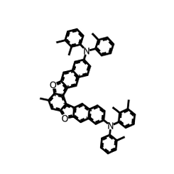 Cc1ccccc1N(c1ccc2cc3c(cc2c1)oc1cc(C)c2oc4cc5cc(N(c6ccccc6C)c6cccc(C)c6C)ccc5cc4c2c13)c1cccc(C)c1C